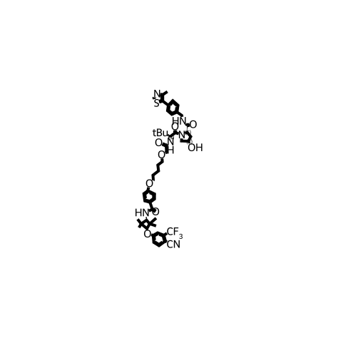 Cc1ncsc1-c1ccc(CNC(=O)[C@@H]2C[C@@H](O)CN2C(=O)[C@@H](NC(=O)COCCCCCOc2ccc(C(=O)N[C@H]3C(C)(C)[C@H](Oc4ccc(C#N)c(C(F)(F)F)c4)C3(C)C)cc2)C(C)(C)C)cc1